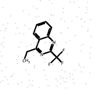 CCc1nc(C(F)(F)F)nc2ccccc12